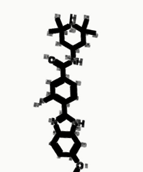 COc1ccc2nc(-c3ccc(C(=O)NC4CC(C)(C)NC(C)(C)C4)cc3F)[nH]c2c1